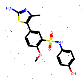 COc1ccc(-c2sc(N)nc2C)cc1S(=O)(=O)Nc1ccc(O)cc1